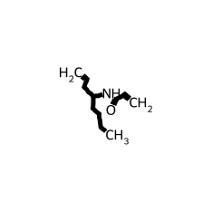 C=CCC(CCCC)NC(=O)C=C